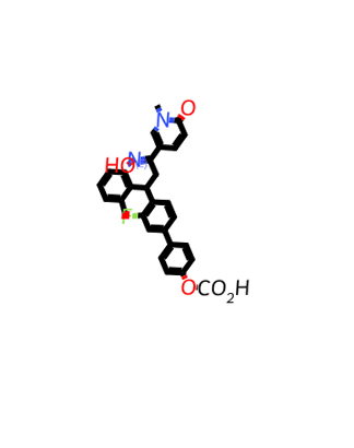 Cc1ccccc1C(C/C(=N\O)c1ccc(=O)n(C)c1)c1ccc(-c2ccc(OC(=O)O)cc2)cc1F